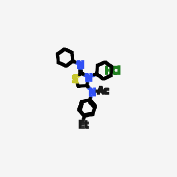 CCc1ccc(N(C(C)=O)C2CSC(=NC3CCCCC3)N2C2CCCCC2)cc1.Cl